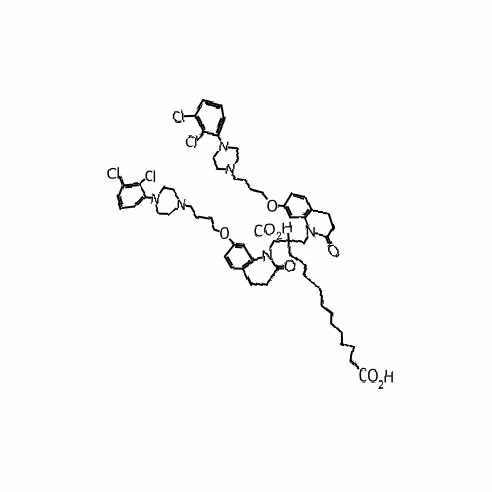 O=C(O)CCCCCCCCCCCC(CN1C(=O)CCc2ccc(OCCCCN3CCN(c4cccc(Cl)c4Cl)CC3)cc21)(CN1C(=O)CCc2ccc(OCCCCN3CCN(c4cccc(Cl)c4Cl)CC3)cc21)C(=O)O